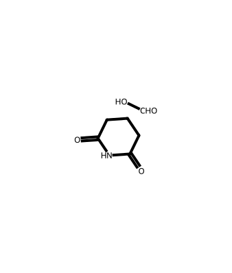 O=C1CCCC(=O)N1.O=CO